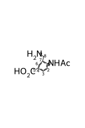 CC(=O)Nc1ccc(C(=O)O)cc1CN